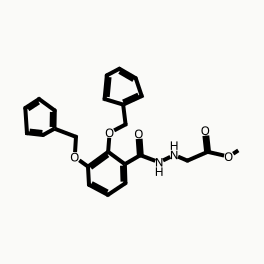 COC(=O)CNNC(=O)c1cccc(OCc2ccccc2)c1OCc1ccccc1